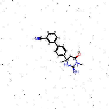 CN1C(=N)N[C@](C)(c2ccc(-c3cccc(C#N)c3)cc2)CC1=O